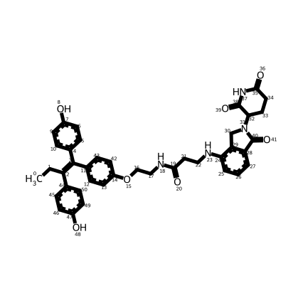 CCC(=C(c1ccc(O)cc1)c1ccc(OCCNC(=O)CCNc2cccc3c2CN(C2CCC(=O)NC2=O)C3=O)cc1)c1ccc(O)cc1